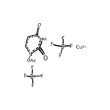 CC(=O)On1ccc(=O)[nH]c1=O.F[B-](F)(F)F.F[B-](F)(F)F.[Cu+2]